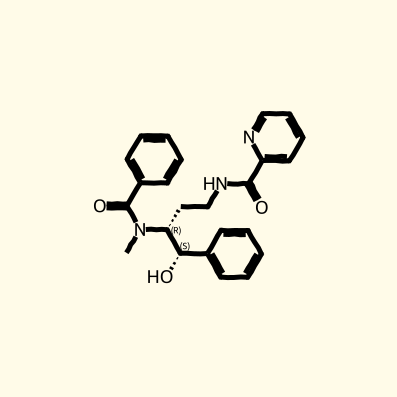 CN(C(=O)c1ccccc1)[C@H](CCNC(=O)c1ccccn1)[C@@H](O)c1ccccc1